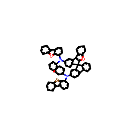 c1ccc(N(c2ccc3c(c2)-c2c(oc4ccccc24)C32c3ccccc3-c3ccc(N(c4ccccc4)c4cccc5c4sc4ccccc45)cc32)c2cccc3c2oc2ccccc23)cc1